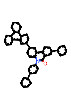 O=c1c2cc(-c3ccccc3)ccc2c2cc(-c3ccc4c5ccccc5c5ccccc5c4c3)ccc2n1-c1ccc(-c2ccccc2)cc1